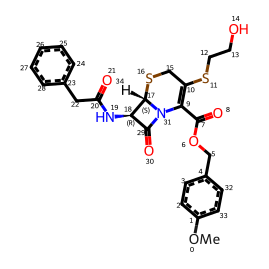 COc1ccc(COC(=O)C2=C(SCCO)CS[C@H]3[C@H](NC(=O)Cc4ccccc4)C(=O)N23)cc1